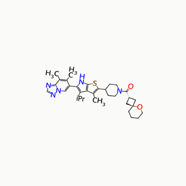 Cc1c(-c2[nH]c3sc(C4CCN(C(=O)[C@H]5C[C@@]6(CCCCO6)C5)CC4)c(C)c3c2C(C)C)cn2ncnc2c1C